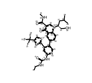 CCNC(=O)Nc1cc(-c2nc(C(F)(F)F)cs2)c(-c2ccc3c(c2)c(=O)c(C(=O)NC)cn3[C@H](CO)CC(C)C)cn1